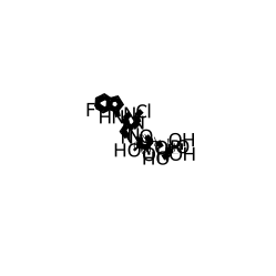 C[C@](CO)(OC[C@H]1O[C@@H](n2ncc3c(NC4CCc5ccc(F)cc54)nc(Cl)nc32)[C@H](O)[C@@H]1O)P(=O)(O)O